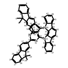 CC1(C)c2ccccc2-c2ccc(-c3nc(-c4ccc5c(c4)C(C)(C)c4ccccc4-5)nc(-n4c5ccccc5c5ccc6c7ccccc7n(-c7ccccc7)c6c54)n3)cc21